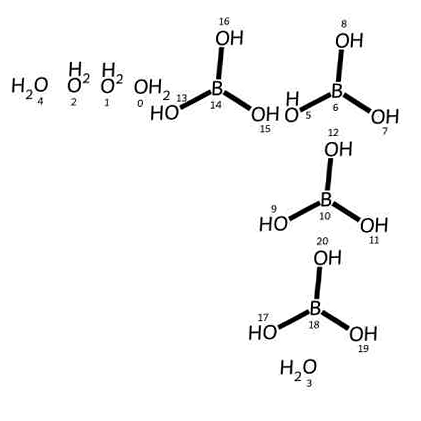 O.O.O.O.O.OB(O)O.OB(O)O.OB(O)O.OB(O)O